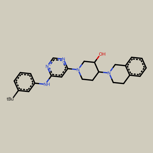 CC(C)(C)c1cccc(Nc2cc(N3CCC(N4CCc5ccccc5C4)C(O)C3)ncn2)c1